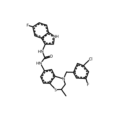 CC1CN(Cc2cc(F)cc(Cl)c2)c2cc(NC(=O)Nc3c[nH]c4ccc(F)cc34)ccc2S1